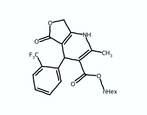 CCCCCCOC(=O)C1=C(C)NC2=C(C(=O)OC2)C1c1ccccc1C(F)(F)F